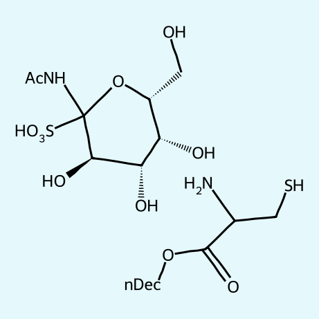 CC(=O)NC1(S(=O)(=O)O)O[C@H](CO)[C@H](O)[C@H](O)[C@H]1O.CCCCCCCCCCOC(=O)C(N)CS